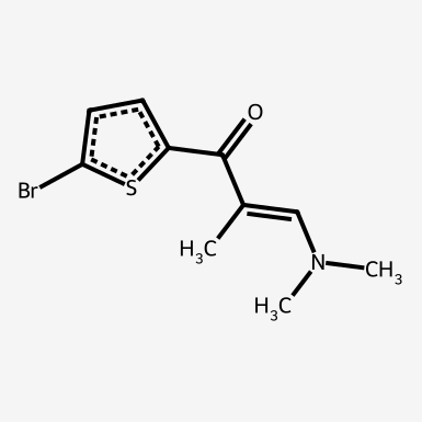 C/C(=C\N(C)C)C(=O)c1ccc(Br)s1